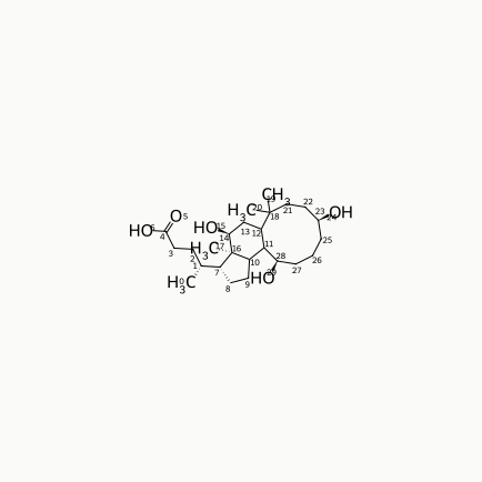 C[C@H](CCC(=O)O)[C@H]1CCC2C3C(C[C@H](O)[C@@]21C)C(C)(C)CC[C@@H](O)CCC[C@H]3O